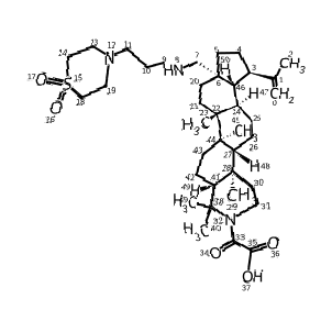 C=C(C)[C@@H]1CC[C@]2(CNCCCN3CCS(=O)(=O)CC3)CC[C@]3(C)[C@H](CC[C@@H]4[C@@]5(C)CCN(C(=O)C(=O)O)C(C)(C)[C@@H]5CC[C@]43C)[C@@H]12